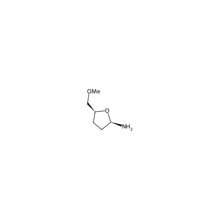 COC[C@@H]1CC[C@H](N)O1